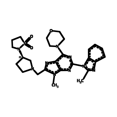 Cc1nc2ccccc2n1-c1nc(N2CCOCC2)c2nc(CN3CC[C@@H](N4CCCS4(=O)=O)C3)n(C)c2n1